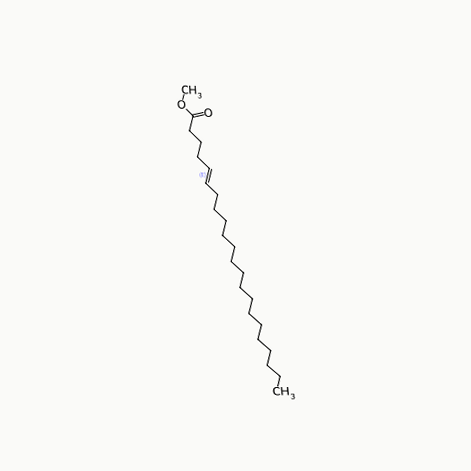 CCCCCCCCCCCCCCCC/C=C/CCCC(=O)OC